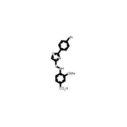 COc1cc(C(=O)O)ccc1NSc1coc(-c2ccc(C(C)C)cc2)n1